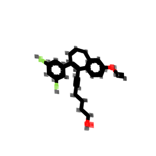 COc1ccc2c(c1)CCCC(c1cc(F)cc(F)c1)=C2C#CCCCCO